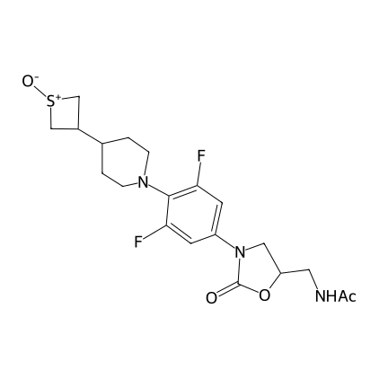 CC(=O)NCC1CN(c2cc(F)c(N3CCC(C4C[S+]([O-])C4)CC3)c(F)c2)C(=O)O1